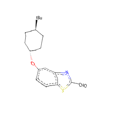 CC(C)(C)[C@H]1CC[C@H](Oc2ccc3sc(C=O)nc3c2)CC1